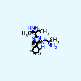 Cc1n[nH]c(C)c1-c1nc(NC[C@H](C)N)c2c3c(sc2n1)CCCC3